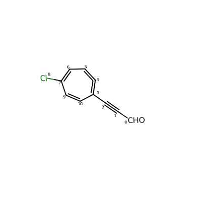 O=CC#CC1=C=CC=C(Cl)C=C1